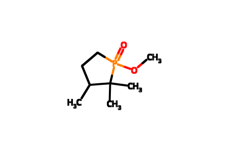 COP1(=O)CCC(C)C1(C)C